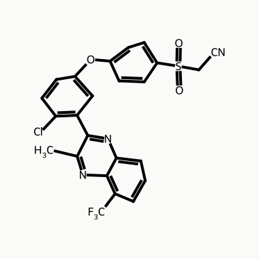 Cc1nc2c(C(F)(F)F)cccc2nc1-c1cc(Oc2ccc(S(=O)(=O)CC#N)cc2)ccc1Cl